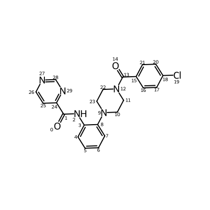 O=C(Nc1ccccc1N1CCN(C(=O)c2ccc(Cl)cc2)CC1)c1ccncn1